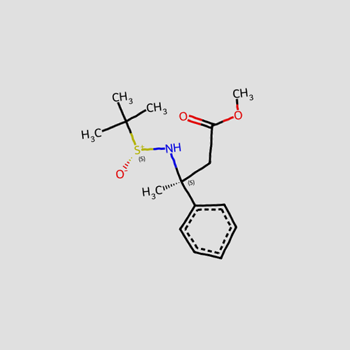 COC(=O)C[C@](C)(N[S@+]([O-])C(C)(C)C)c1ccccc1